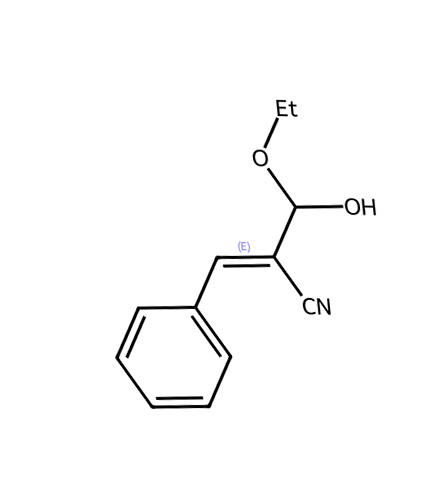 CCOC(O)/C(C#N)=C/c1ccccc1